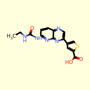 CCNC(=O)Nc1ccc2ncc(-c3csc(C(=O)O)c3)nc2n1